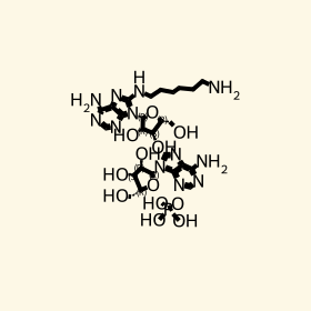 NCCCCCCNc1nc2c(N)ncnc2n1[C@@H]1O[C@H](CO)[C@@H](O)[C@H]1O.Nc1ncnc2c1ncn2[C@@H]1O[C@H](CO)[C@@H](O)[C@H]1O.O=P(O)(O)O